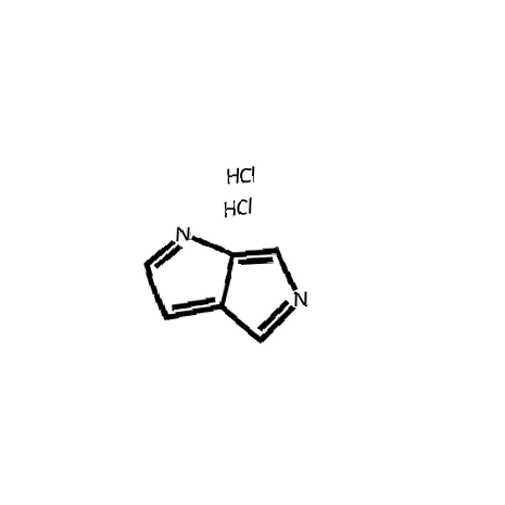 C1=NC=C2N=CC=C12.Cl.Cl